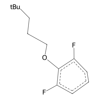 CC(C)(C)CCCOc1c(F)cccc1F